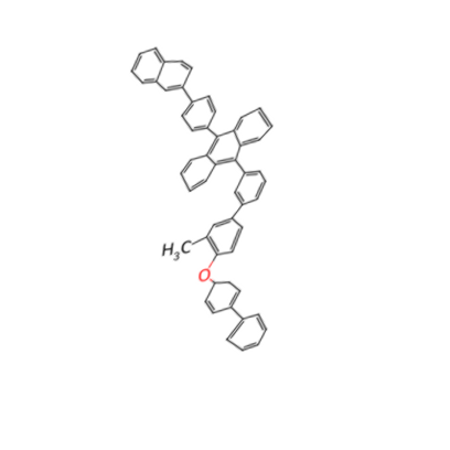 Cc1cc(-c2cccc(-c3c4ccccc4c(-c4ccc(-c5ccc6ccccc6c5)cc4)c4ccccc34)c2)ccc1OC1C=CC(c2ccccc2)=CC1